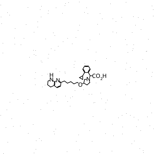 O=C(O)C(c1ccccc1C1CC1)N1CCC(OCCCCCc2ccc3c(n2)NCCC3)C1